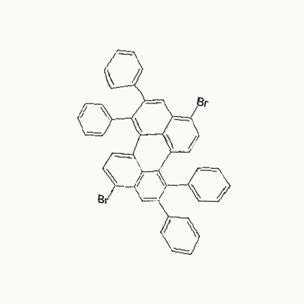 Brc1ccc2c3c(-c4ccccc4)c(-c4ccccc4)cc4c(Br)ccc(c5c(-c6ccccc6)c(-c6ccccc6)cc1c25)c43